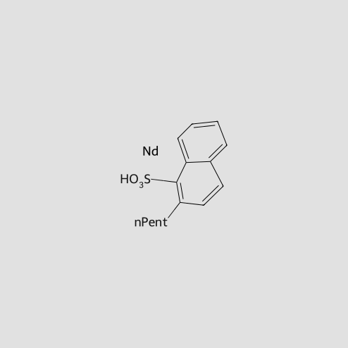 CCCCCc1ccc2ccccc2c1S(=O)(=O)O.[Nd]